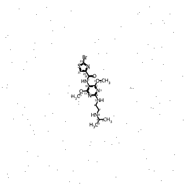 COc1nc(NCCNC(C)C)nc(OC)c1NC(=O)c1csc(Br)n1